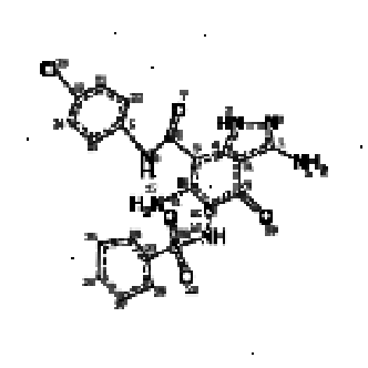 Nc1n[nH]c2c(C(=O)Nc3ccc(Cl)cc3)c(N)n(NS(=O)(=O)c3ccccc3)c(=O)c12